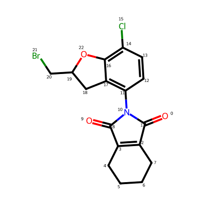 O=C1C2=C(CCCC2)C(=O)N1c1ccc(Cl)c2c1CC(CBr)O2